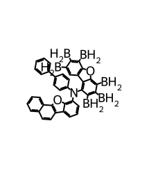 Bc1cc2c(oc3c(B)c(B)c(B)c(N(c4ccc(-c5ccccc5)cc4)c4cccc5c4oc4c6ccccc6ccc54)c32)c(B)c1B